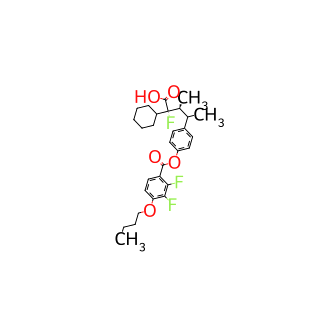 CCCCOc1ccc(C(=O)Oc2ccc(C(C)[C@H](C)[C@](F)(C(=O)O)C3CCCCC3)cc2)c(F)c1F